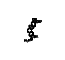 COc1cc2c(cc1O)[C@H](CC1=CC(O)C(O)C=C1)N(C)CC2